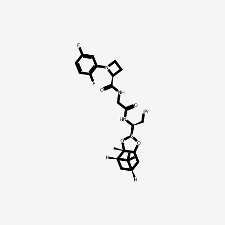 CC(C)C[C@H](NC(=O)CNC(=O)[C@@H]1CCN1c1cc(F)ccc1F)B1OC2C[C@@H]3C[C@@H](C3(C)C)[C@]2(C)O1